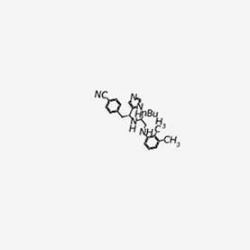 CCCCC(CNc1cccc(C)c1C)N[C@@H](Cc1ccc(C#N)cc1)c1cnc[nH]1